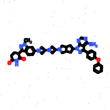 Cn1nc(C2CCC(=O)NC2=O)c2ccc(N3CC(N4CC(N5CC6CC(n7nc(-c8ccc(Oc9ccccc9)cc8)c8c(N)ncnc87)CC6C5)C4)C3)cc21